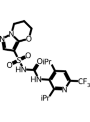 CC(C)c1cc(C(F)(F)F)nc(C(C)C)c1NC(=O)NS(=O)(=O)c1cnn2c1OCCC2